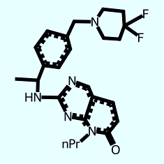 CCCn1c(=O)ccc2cnc(NC(C)c3ccc(CN4CCC(F)(F)CC4)cc3)nc21